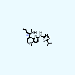 C=C/C=C(\NC)C1=CCN(C)c2ccc(Nc3nnc(C(C)C)s3)nc21